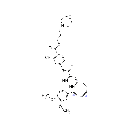 COc1ccc(/C2=C/C=C\CC/C(=C/C(=N)C(=O)Nc3ccc(C(=O)OCCCN4CCOCC4)c(Cl)c3)N2)cc1OC